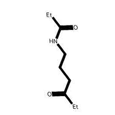 CCC(=O)CCCNC(=O)CC